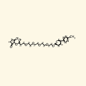 Cc1nnc(-c2ccc(OCCOCCOCCOCCOCCC(=O)OC3C(=O)CCC3=O)cc2)nn1